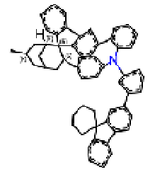 C[C@@H]1CC2C[C@@H](C1)[C@@]1(c3ccccc3-c3cc(-c4ccccc4N(c4ccccc4)c4cccc(-c5ccc6c(c5)C5(CCCCC5)c5ccccc5-6)c4)ccc31)[C@@H](C)C2